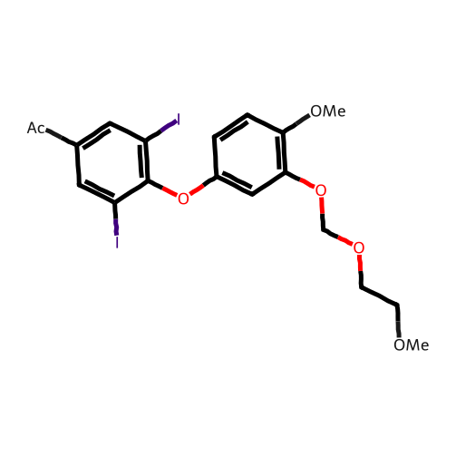 COCCOCOc1cc(Oc2c(I)cc(C(C)=O)cc2I)ccc1OC